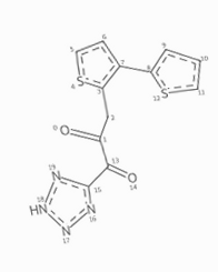 O=C(Cc1sccc1-c1cccs1)C(=O)c1nn[nH]n1